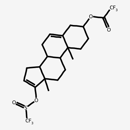 CC12CCC(OC(=O)C(F)(F)F)CC1=CCC1C2CCC2(C)C(OS(=O)C(F)(F)F)=CCC12